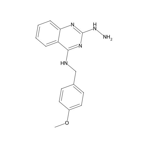 COc1ccc(CNc2nc(NN)nc3ccccc23)cc1